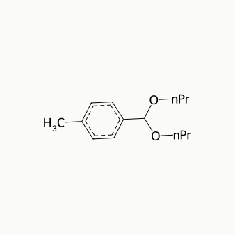 CCCOC(OCCC)c1ccc(C)cc1